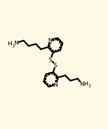 NCCCCc1ncccc1SSc1cccnc1CCCN